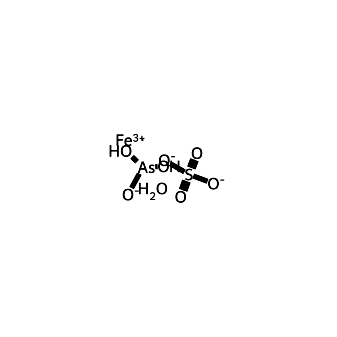 O.O=S(=O)([O-])[O-].[Fe+3].[O-][As](O)O